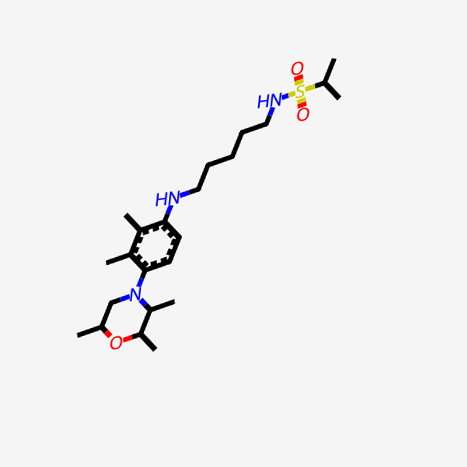 Cc1c(NCCCCCNS(=O)(=O)C(C)C)ccc(N2CC(C)OC(C)C2C)c1C